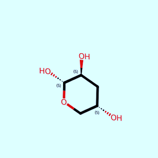 O[C@@H]1CO[C@H](O)[C@@H](O)C1